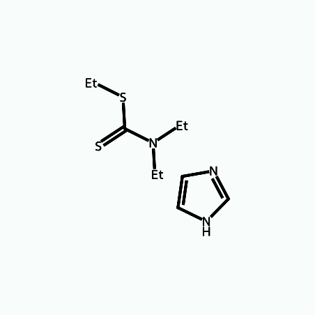 CCSC(=S)N(CC)CC.c1c[nH]cn1